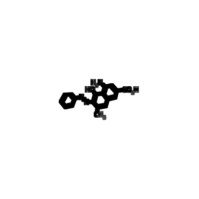 Cc1cc2cc(S(=O)(=O)O)cc(N)c2c(O)c1/N=N/c1ccccc1